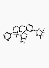 CC(C)(C)N1C(N)SCC12c1cc(B3OC(C)(C)C(C)(C)O3)ccc1Oc1ccc(-c3cncnc3)cc12